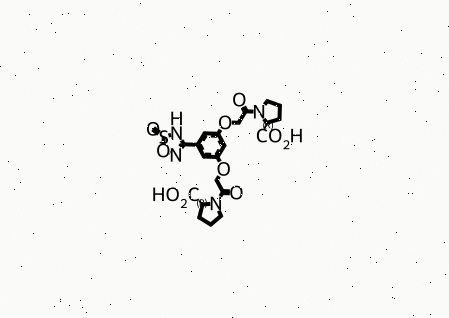 O=C(O)[C@H]1CCCN1C(=O)COc1cc(OCC(=O)N2CCC[C@@H]2C(=O)O)cc(C2=NOS(=O)N2)c1